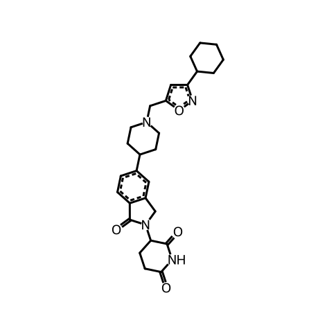 O=C1CCC(N2Cc3cc(C4CCN(Cc5cc(C6CCCCC6)no5)CC4)ccc3C2=O)C(=O)N1